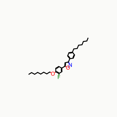 CCCCCCCCOc1ccc(-c2cc(-c3ccc(CCCCCCC)cc3)no2)cc1F